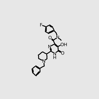 CN(Cc1ccc(F)cc1)C(=O)c1nc(C2CCCN(Cc3ccccc3)C2)[nH]c(=O)c1O